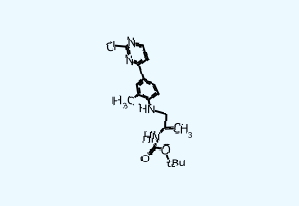 Cc1cc(-c2ccnc(Cl)n2)ccc1NCC(C)NC(=O)OC(C)(C)C